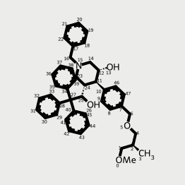 COC[C@H](C)COCc1ccc([C@@H]2[C@@H](O)CN(Cc3ccccc3)C[C@H]2C(O)C(c2ccccc2)(c2ccccc2)c2ccccc2)cc1